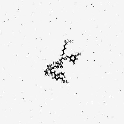 CCCCCCCCCCCCCCCC[C@@H](COP(=O)(O)OC[C@@]1(C#N)OC(c2ccc3c(N)ncnn23)[C@@H]2OC(C)(C)O[C@@H]21)OCc1cc(F)cc(C#N)c1